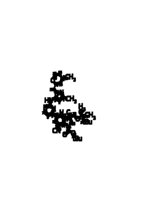 Cc1cc(Nc2nccc(-c3cc(C#N)c4c(c3)[C@@](C)(CO[Si](C)(C)C(C)(C)C)CN4C(=O)OC(C)(C)C)n2)n(C[C@H]2CN(C)CCO2)n1